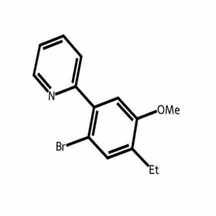 CCc1cc(Br)c(-c2ccccn2)cc1OC